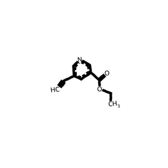 C#Cc1cncc(C(=O)OCC)c1